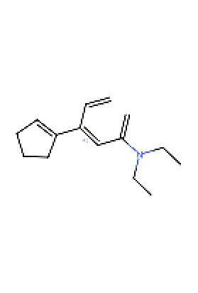 C=C/C(=C\C(=C)N(CC)CC)C1=CCCC1